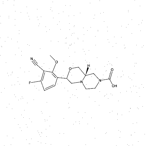 COc1c(C2CN3CCN(C(=O)O)C[C@H]3CO2)ccc(F)c1C#N